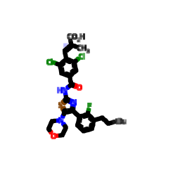 C/C(=C\c1c(Cl)cc(C(=O)Nc2nc(-c3cccc(CCC(C)(C)C)c3F)c(N3CCOCC3)s2)cc1Cl)C(=O)O